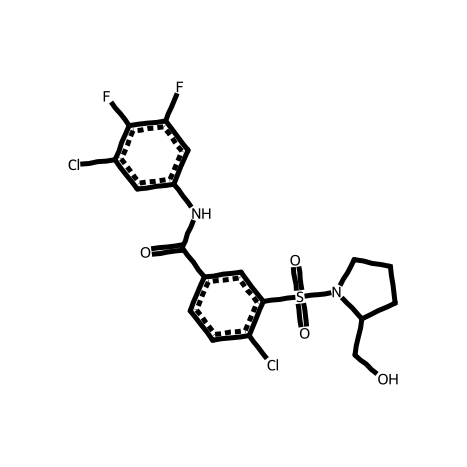 O=C(Nc1cc(F)c(F)c(Cl)c1)c1ccc(Cl)c(S(=O)(=O)N2CCCC2CO)c1